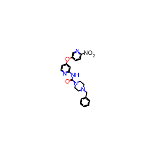 O=C(Nc1cc(Oc2ccc([N+](=O)[O-])nc2)ccn1)N1CCN(Cc2ccccc2)CC1